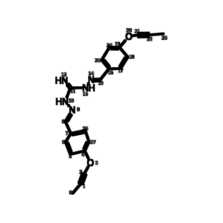 CC#COc1ccc(/C=N/NC(=N)N/N=C/c2ccc(OC#CC)cc2)cc1